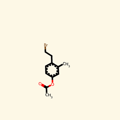 CC(=O)Oc1ccc(CCBr)c(C)c1